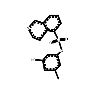 Cc1cc(O)cc(OS(=O)(=O)c2cccc3cnccc23)c1